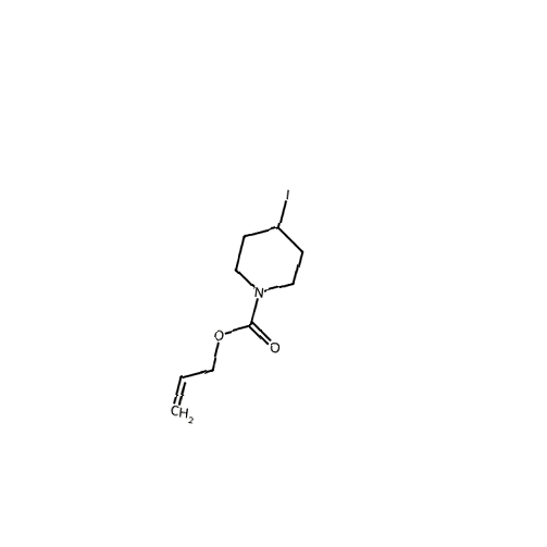 C=CCOC(=O)N1CCC(I)CC1